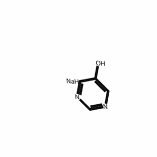 Oc1cncnc1.[NaH]